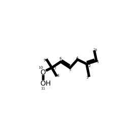 [CH2]C=C(C)CC=CC(C)(C)OO